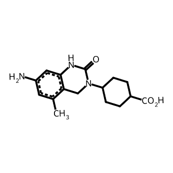 Cc1cc(N)cc2c1CN(C1CCC(C(=O)O)CC1)C(=O)N2